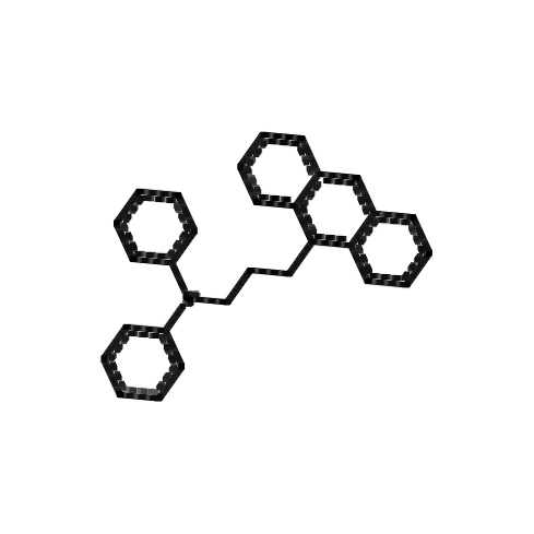 c1ccc([S+](CCCc2c3ccccc3cc3ccccc23)c2ccccc2)cc1